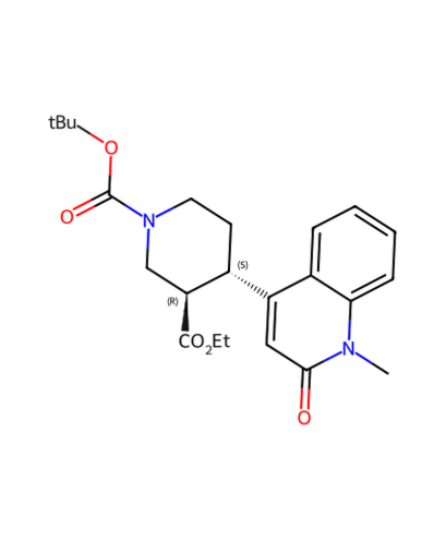 CCOC(=O)[C@H]1CN(C(=O)OC(C)(C)C)CC[C@@H]1c1cc(=O)n(C)c2ccccc12